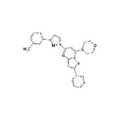 Cc1cccc(-c2ccn(-c3cc(N4CCOCC4)n4nc(-c5ccccn5)cc4n3)n2)c1